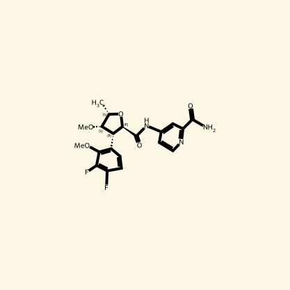 COc1c([C@@H]2[C@H](OC)[C@H](C)O[C@H]2C(=O)Nc2ccnc(C(N)=O)c2)ccc(F)c1F